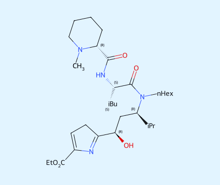 CCCCCCN(C(=O)[C@@H](NC(=O)[C@H]1CCCCN1C)[C@@H](C)CC)[C@H](C[C@@H](O)C1=NC(C(=O)OCC)=CC1)C(C)C